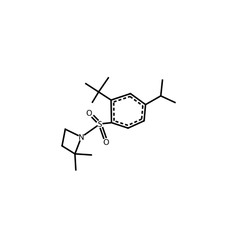 CC(C)c1ccc(S(=O)(=O)N2CCC2(C)C)c(C(C)(C)C)c1